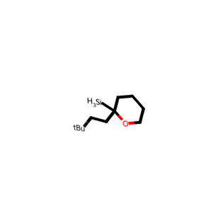 CC(C)(C)CCC1([SiH3])CCCCO1